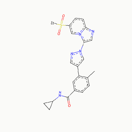 CCS(=O)(=O)c1ccc2ncc(-n3cc(-c4cc(C(=O)NC5CC5)ccc4C)cn3)n2c1